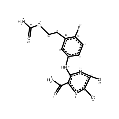 CCc1nc(C(N)=O)c(Nc2ccc(F)c(CCOC(N)=O)c2)nc1Cl